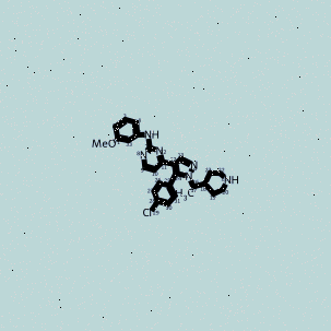 COc1cccc(Nc2nccc(-c3cnn(C(C)C4CCNCC4)c3-c3ccc(Cl)cc3)n2)c1